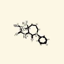 CC(C)(C)OC(=O)NC1C(=O)N(c2ccccc2)CCCC1(C)C